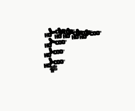 CC(O)C(=O)[O-].CC(O)C(=O)[O-].CC(O)C(=O)[O-].CC(O)C(=O)[O-].CC(O)C(=O)[O-].CC(O)C(=O)[O-].CC(O)C(=O)[O-].CC(O)C(=O)[O-].[Ti+4].[Ti+4]